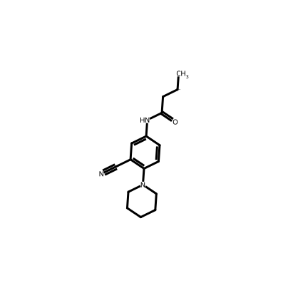 C[CH]CC(=O)Nc1ccc(N2CCCCC2)c(C#N)c1